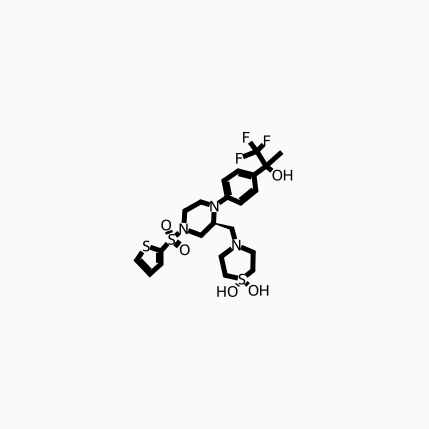 CC(O)(c1ccc(N2CCN(S(=O)(=O)c3cccs3)C[C@@H]2CN2CCS(O)(O)CC2)cc1)C(F)(F)F